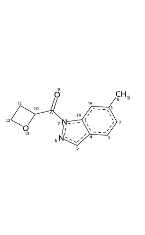 Cc1ccc2cnn(C(=O)C3CCO3)c2c1